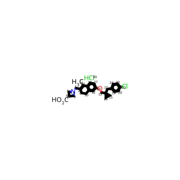 CC1=C(CN2CC(C(=O)O)C2)CCc2cc(OCC3(Cc4ccc(Cl)cc4)CC3)ccc21.Cl